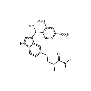 CCCC(c1ccc(C(=O)O)cc1OC)c1c[nH]c2ccc(CCC(C)C(=O)N(C)C)cc12